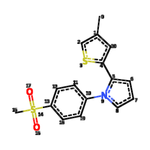 Cc1csc(-c2cccn2-c2ccc(S(C)(=O)=O)cc2)c1